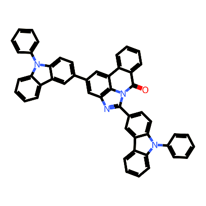 O=c1c2ccccc2c2cc(-c3ccc4c(c3)c3ccccc3n4-c3ccccc3)cc3nc(-c4ccc5c(c4)c4ccccc4n5-c4ccccc4)n1c32